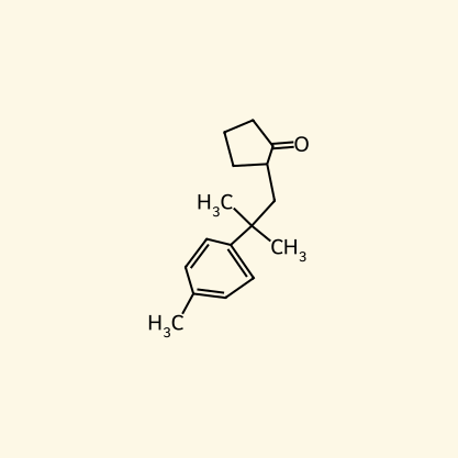 Cc1ccc(C(C)(C)CC2CCCC2=O)cc1